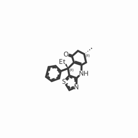 CC[C@@]1(c2ccccc2)C2=C(C[C@@H](C)CC2=O)Nc2ncsc21